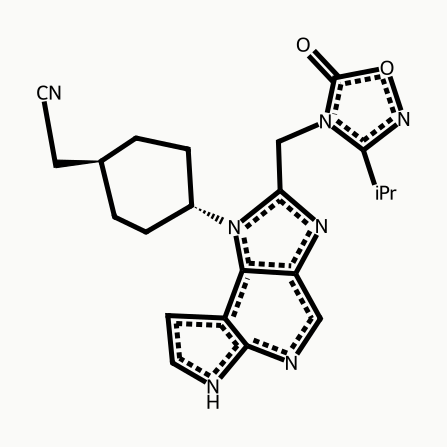 CC(C)c1noc(=O)n1Cc1nc2cnc3[nH]ccc3c2n1[C@H]1CC[C@H](CC#N)CC1